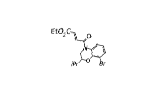 CCOC(=O)C=CC(=O)N1CC(C(C)C)Oc2c(Br)cccc21